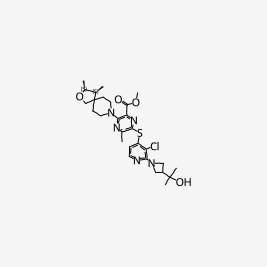 COC(=O)c1nc(Sc2ccnc(N3CC(C(C)(C)O)C3)c2Cl)c(C)nc1N1CCC2(CC1)CO[C@@H](C)[C@H]2C